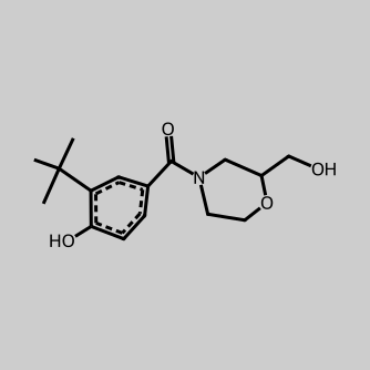 CC(C)(C)c1cc(C(=O)N2CCOC(CO)C2)ccc1O